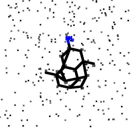 CC12CC3CC4C1CC1(N)CC2C(C3)C4(C)C1